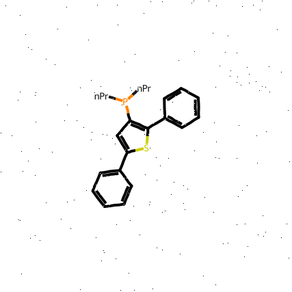 CCCP(CCC)c1cc(-c2ccccc2)sc1-c1ccccc1